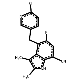 Cc1[nH]c2c(C#N)cc(F)c(Cc3ccc(Cl)nc3)c2c1C